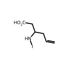 C=CCC(CC(=O)O)NI